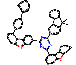 CC1(C)c2ccccc2-c2cc(-c3nc(-c4ccc5c(c4)oc4cccc(-c6ccc(-c7ccccc7)cc6)c45)nc(-c4cccc5oc6ccccc6c45)n3)ccc21